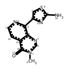 Cn1cnc2c(-c3csc(N)n3)nccc2c1=O